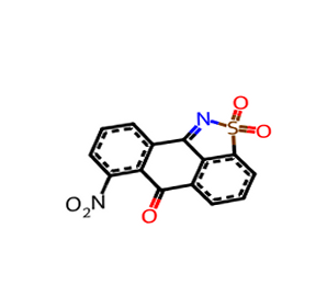 O=C1c2cccc3c2C(=NS3(=O)=O)c2cccc([N+](=O)[O-])c21